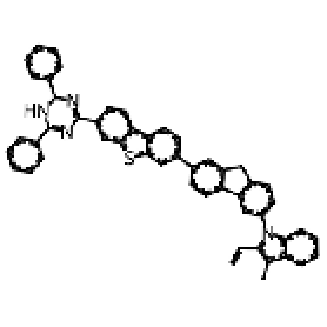 C=Cc1c(C)c2ccccc2n1-c1ccc2c(c1)-c1ccc(-c3ccc4c(c3)sc3cc(C5=NC(c6ccccc6)NC(c6ccccc6)=N5)ccc34)cc1C2